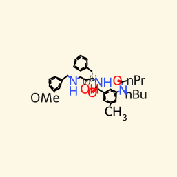 CCCCN(C(=O)CCC)c1cc(C)cc(C(=O)N[C@@H](Cc2ccccc2)[C@H](O)CNCc2cccc(OC)c2)c1